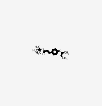 CCC(C)Oc1ccc(C=CC(=O)OC(C)(C)C)cc1